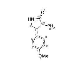 COc1ccc([C@@H]2CNC(=O)[C@H]2P)cc1